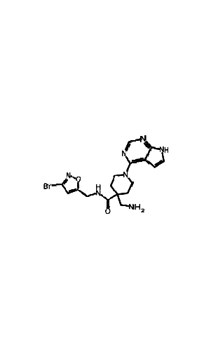 NCC1(C(=O)NCc2cc(Br)no2)CCN(c2ncnc3[nH]ccc23)CC1